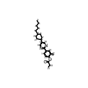 CCCCCC1CCC(c2cnc(-c3ccc(OC(=O)CC)c(F)c3)nc2)CC1